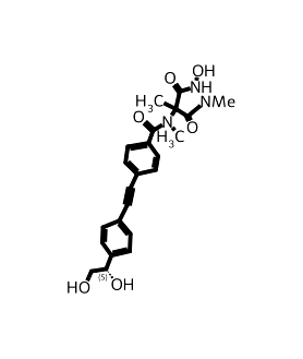 CNC(=O)C(C)(C(=O)NO)N(C)C(=O)c1ccc(C#Cc2ccc([C@H](O)CO)cc2)cc1